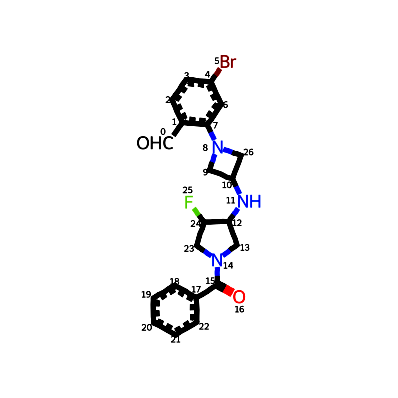 O=Cc1ccc(Br)cc1N1CC(NC2CN(C(=O)c3ccccc3)CC2F)C1